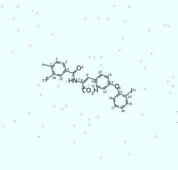 Cc1ccc(C(=O)NC(=Cc2ccc(Oc3ccccc3I)cc2)C(=O)O)cc1F